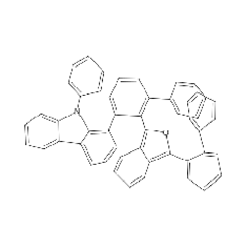 c1ccc(-c2ccccc2-c2oc(-c3c(-c4ccccc4)cccc3-c3cccc4c5ccccc5n(-c5ccccc5)c34)c3ccccc23)cc1